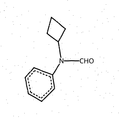 O=CN(c1ccccc1)C1CCC1